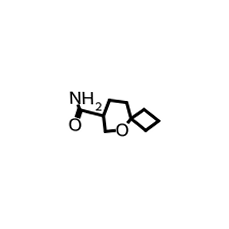 NC(=O)C1CCC2(CCC2)OC1